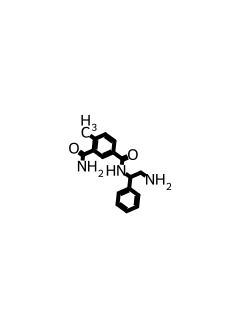 Cc1ccc(C(=O)NC(CN)c2ccccc2)cc1C(N)=O